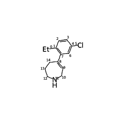 CCc1ccc(Cl)cc1C1=CCNCCC1